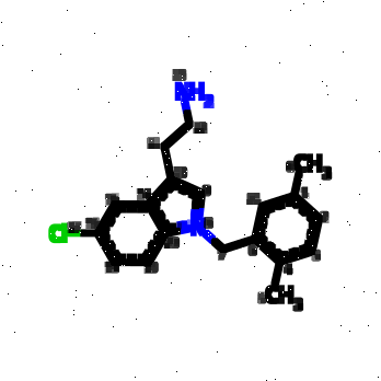 Cc1ccc(C)c(Cn2cc(CCN)c3cc(Cl)ccc32)c1